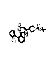 CC(C)(C)OC(=O)N1CCC(c2cc(=O)[nH]c3c4c(-c5ccccc5Cl)cccc4nn23)CC1